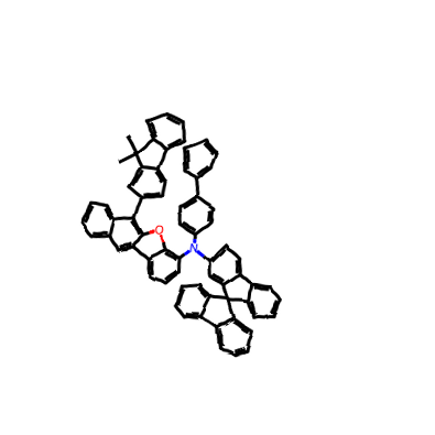 CC1(C)c2ccccc2-c2ccc(-c3c4ccccc4cc4c3oc3c(N(c5ccc(-c6ccccc6)cc5)c5ccc6c(c5)C5(c7ccccc7-c7ccccc75)c5ccccc5-6)cccc34)cc21